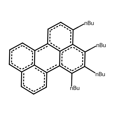 CCCCc1c(CCCC)c2c(CCCC)ccc3c4cccc5cccc(c(c1CCCC)c23)c54